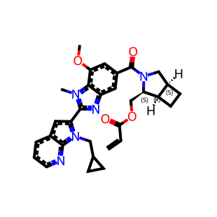 C=CC(=O)OC[C@@H]1[C@@H]2CC[C@@H]2CN1C(=O)c1cc(OC)c2c(c1)nc(-c1cc3cccnc3n1CC1CC1)n2C